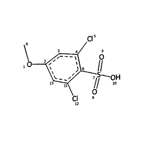 COc1cc(Cl)c(S(=O)(=O)O)c(Cl)c1